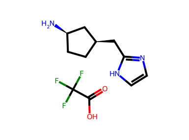 N[C@@H]1CC[C@H](Cc2ncc[nH]2)C1.O=C(O)C(F)(F)F